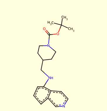 CC(C)(C)OC(=O)N1CCC(CNc2cccc3cnccc23)CC1